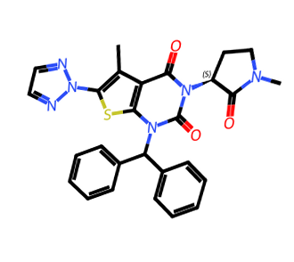 Cc1c(-n2nccn2)sc2c1c(=O)n([C@H]1CCN(C)C1=O)c(=O)n2C(c1ccccc1)c1ccccc1